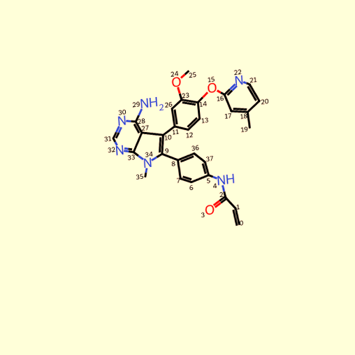 C=CC(=O)Nc1ccc(-c2c(-c3ccc(Oc4cc(C)ccn4)c(OC)c3)c3c(N)ncnc3n2C)cc1